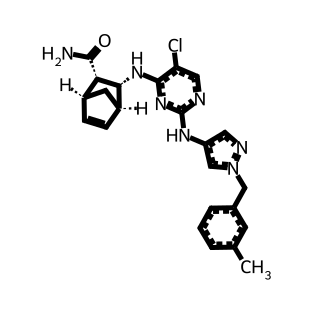 Cc1cccc(Cn2cc(Nc3ncc(Cl)c(N[C@H]4[C@@H](C(N)=O)[C@@H]5C=C[C@H]4C5)n3)cn2)c1